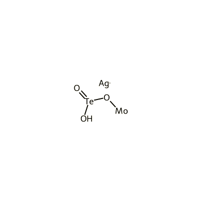 O=[Te](O)[O][Mo].[Ag]